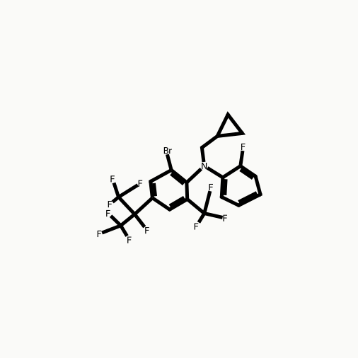 Fc1ccccc1N(CC1CC1)c1c(Br)cc(C(F)(C(F)(F)F)C(F)(F)F)cc1C(F)(F)F